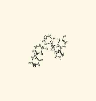 Cc1ccc(-n2nccn2)c(C(=O)N2CCOC[C@H]2Cc2cccc(-c3ccncc3)c2)c1